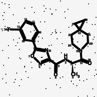 C[C@H](NC(=O)c1noc(-c2cccc(F)c2)n1)C(=O)N1CCC2(CC1)CC2